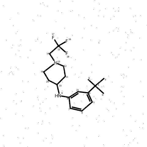 CC(C)(C)c1cccc(NC2CCN(CC(F)(F)F)CC2)c1